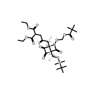 CCOC(=O)C(CC(=S)[C@H](C)[C@@]12C(=O)C(=O)[C@]1([C@@H](C)O[Si](C)(C)C(C)(C)C)C(=O)N2OCOC(=O)C(C)(C)C)C(=O)OCC